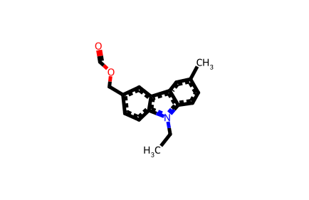 CCn1c2ccc(C)cc2c2cc(COC=O)ccc21